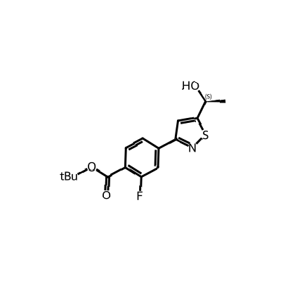 C[C@H](O)c1cc(-c2ccc(C(=O)OC(C)(C)C)c(F)c2)ns1